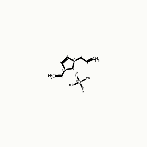 C=CCN1C=CN(C=C)C1.F[B-](F)(F)F